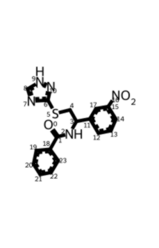 O=C(NC(CSc1nc[nH]n1)c1cccc([N+](=O)[O-])c1)c1ccccc1